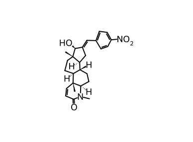 CN1C(=O)C=C[C@]2(C)[C@H]3CC[C@]4(C)[C@@H](O)C(=Cc5ccc([N+](=O)[O-])cc5)C[C@H]4[C@@H]3CC[C@@H]12